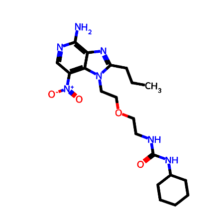 CCCc1nc2c(N)ncc([N+](=O)[O-])c2n1CCOCCNC(=O)NC1CCCCC1